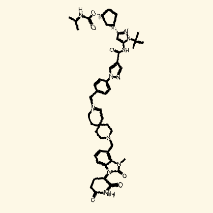 CC(C)NC(=O)O[C@@H]1CC[C@H](c2cc(NC(=O)c3cnn(-c4ccc(CN5CCC6(CC5)CCN(Cc5cccc7c5n(C)c(=O)n7C5CCC(=O)NC5=O)CC6)cc4)c3)n(C(C)(C)C)n2)C1